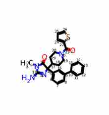 CN1C(=O)C(c2cccc(-c3ccccc3)c2)(C2CCN(C(=O)c3cccs3)CC2)N=C1N